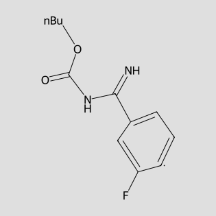 CCCCOC(=O)NC(=N)c1cc[c]c(F)c1